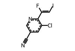 N#Cc1cnc(C(F)=CI)c(Cl)c1